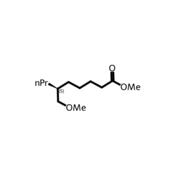 CCC[C@@H](CCCCC(=O)OC)COC